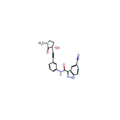 CN1CC[C@@](O)(C#Cc2cccc(NC(=O)c3n[nH]c4ccc(C#N)cc34)c2)C1=O